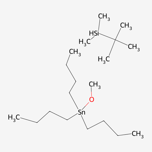 CCC[CH2][Sn]([CH2]CCC)([CH2]CCC)[O]C.C[SiH](C)C(C)(C)C